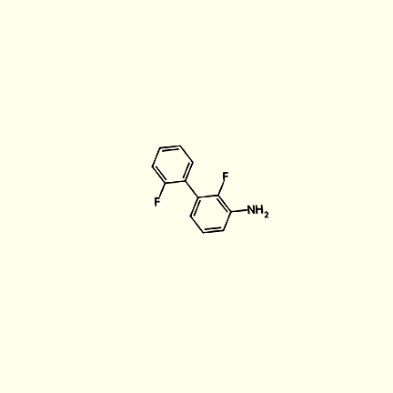 Nc1cccc(-c2ccccc2F)c1F